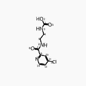 O=C(O)NCCNC(=O)c1cc(Cl)ccn1